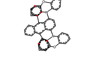 C1=CCCC(c2c3ccccc3c(-c3ccccc3)c3c(N4c5ccccc5Oc5ccccc54)ccc(N4c5ccccc5Oc5ccccc54)c23)=C1